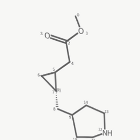 COC(=O)CC1C[C@H]1CC1CCNCC1